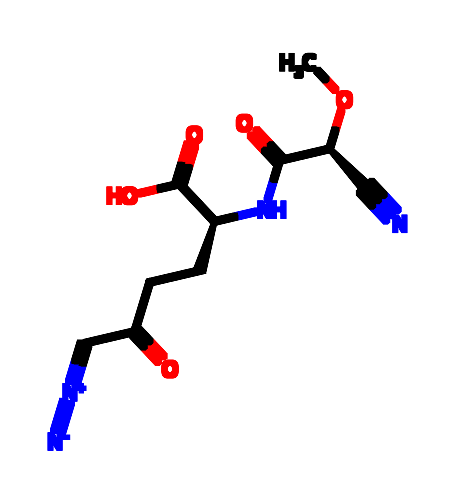 CO[C@@H](C#N)C(=O)N[C@@H](CCC(=O)C=[N+]=[N-])C(=O)O